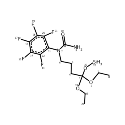 CCOC(CCCN(C(N)=O)c1c(F)c(F)c(F)c(F)c1F)(O[SiH3])OCC